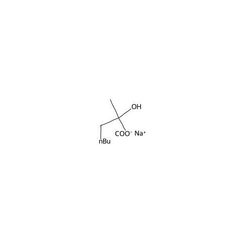 CCCCCC(C)(O)C(=O)[O-].[Na+]